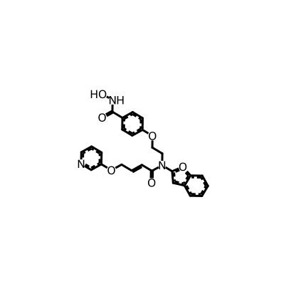 O=C(NO)c1ccc(OCCN(C(=O)C=CCOc2cccnc2)c2cc3ccccc3o2)cc1